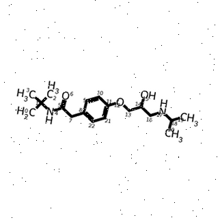 [CH2]C(C)(C)NC(=O)Cc1ccc(OCC(O)CNC(C)C)cc1